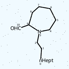 CCCCCCCCCN1CCCCCC1C=O